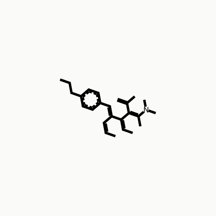 C=C(C)C(=C(C)N(C)C)C(=C\C)/C(/C=C\C)=C/c1ccc(CCC)cc1